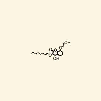 CCCCCC/C=C/Oc1c(O)c2cccc(OCCO)c2oc1=O